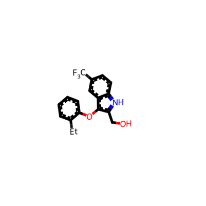 CCc1ccccc1Oc1c(CO)[nH]c2ccc(C(F)(F)F)cc12